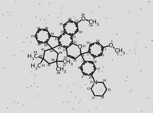 COc1ccc(C2(c3ccc(N4CCCCC4)cc3)C=Cc3c4c(c5ccc(OC)cc5c3O2)-c2ccccc2C42CC(C)(C)CC(C)(C)C2)cc1